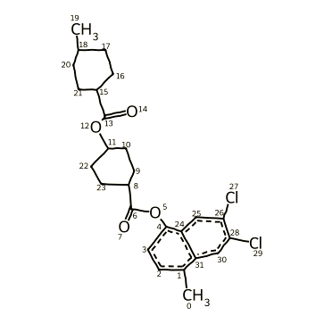 Cc1ccc(OC(=O)C2CCC(OC(=O)C3CCC(C)CC3)CC2)c2cc(Cl)c(Cl)cc12